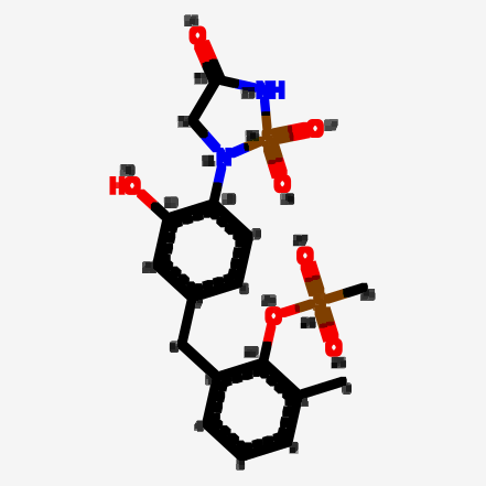 Cc1cccc(Cc2ccc(N3CC(=O)NS3(=O)=O)c(O)c2)c1OS(C)(=O)=O